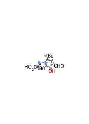 CC(C)(C)c1cc(C=O)c(O)c(C(C)(C)C)c1.CC(N)C(=O)O